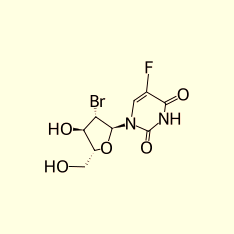 O=c1[nH]c(=O)n([C@H]2O[C@H](CO)[C@@H](O)[C@@H]2Br)cc1F